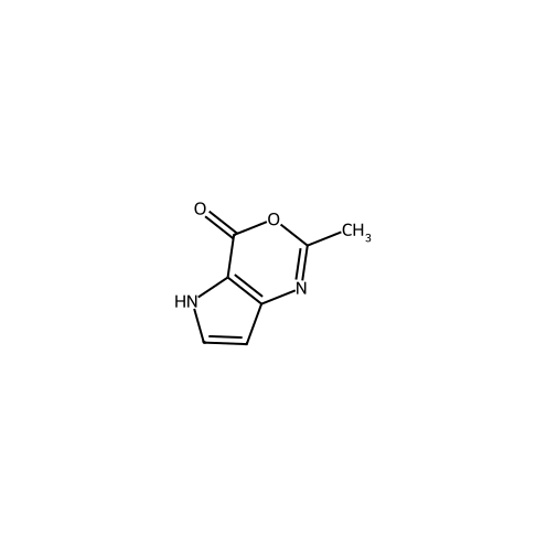 Cc1nc2cc[nH]c2c(=O)o1